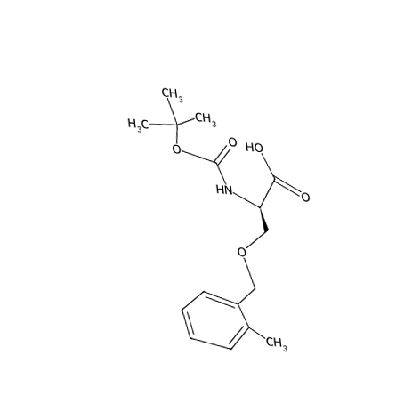 Cc1ccccc1COC[C@@H](NC(=O)OC(C)(C)C)C(=O)O